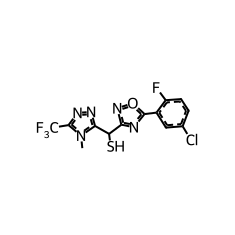 Cn1c(C(S)c2noc(-c3cc(Cl)ccc3F)n2)nnc1C(F)(F)F